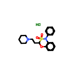 Cl.O=S1(=O)C(CCN2CCCCC2)Oc2ccccc2N1c1ccccc1